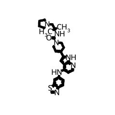 CC(C)(CN1CCCC1)NC(=O)N1CC=C(c2cc3c(Nc4ccc5ncsc5c4)ccnc3[nH]2)CC1